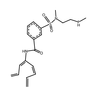 C=C/C=C\C(=C/C=C)NC(=O)c1cccc(S(=O)(=O)N(C)CCPC)c1